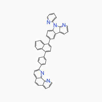 c1ccc(-n2c3ccc(-c4ccc(-c5ccc(-c6ccc7ccc8cccnc8c7n6)cc5)c5ccccc45)cc3c3cccnc32)nc1